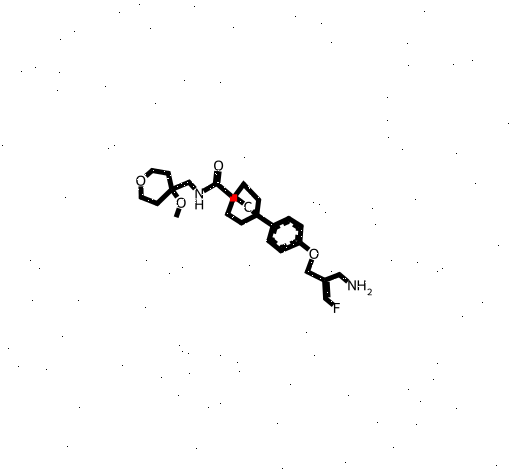 COC1(CNC(=O)C23CCC(c4ccc(OC/C(=C/F)CN)cc4)(CC2)CC3)CCOCC1